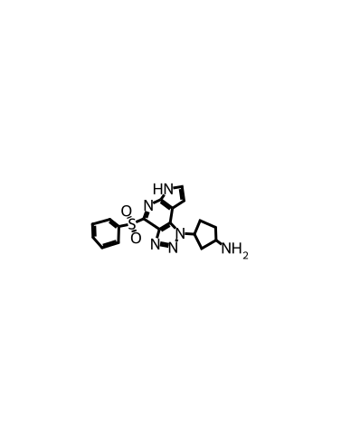 NC1CCC(n2nnc3c(S(=O)(=O)c4ccccc4)nc4[nH]ccc4c32)C1